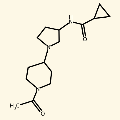 CC(=O)N1CCC(N2CCC(NC(=O)C3CC3)C2)CC1